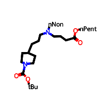 CCCCCCCCCN(CCCC(=O)OCCCCC)CCCC1CCN(C(=O)OC(C)(C)C)CC1